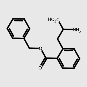 NC(Cc1ccccc1C(=O)OCc1ccccc1)C(=O)O